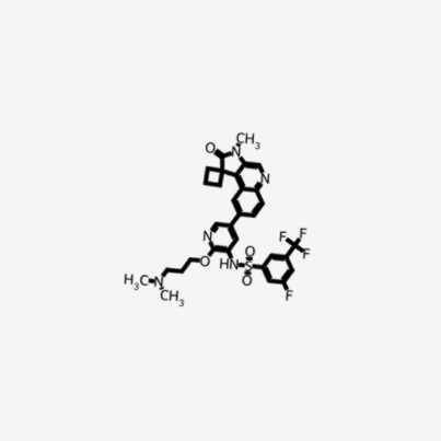 CN(C)CCCOc1ncc(-c2ccc3ncc4c(c3c2)C2(CCC2)C(=O)N4C)cc1NS(=O)(=O)c1cc(F)cc(C(F)(F)F)c1